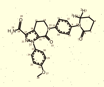 [2H]C1([2H])CCCC(=O)N1c1ccc(N2CCc3c(C(N)=O)nn(-c4ccc(OC)cc4)c3C2=O)cc1